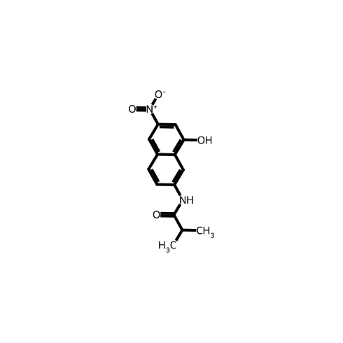 CC(C)C(=O)Nc1ccc2cc([N+](=O)[O-])cc(O)c2c1